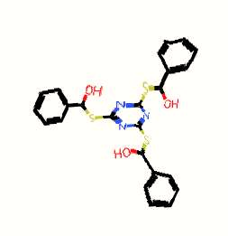 OC(Sc1nc(SC(O)c2ccccc2)nc(SC(O)c2ccccc2)n1)c1ccccc1